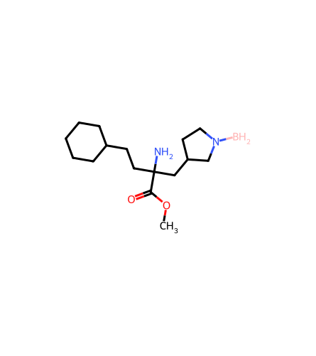 BN1CCC(CC(N)(CCC2CCCCC2)C(=O)OC)C1